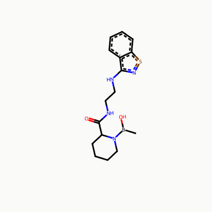 CB(O)N1CCCCC1C(=O)NCCNc1nsc2ccccc12